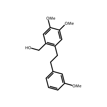 COc1cccc(CCc2cc(OC)c(OC)cc2CO)c1